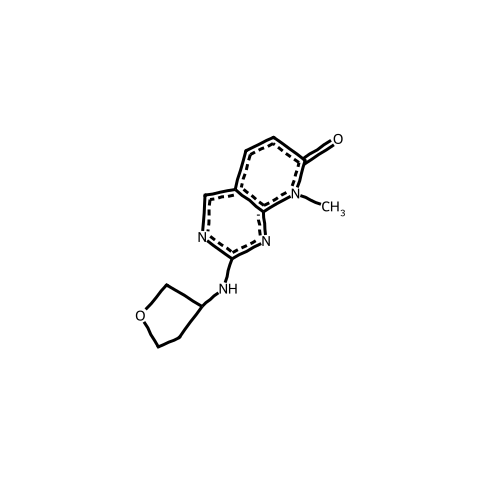 Cn1c(=O)ccc2cnc(NC3CCOC3)nc21